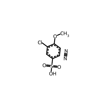 COc1ccc(S(=O)(=O)O)cc1Cl.N#N